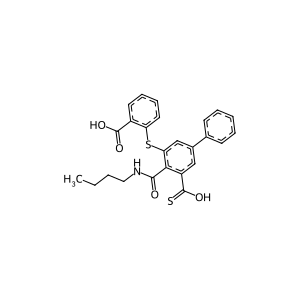 CCCCNC(=O)c1c(Sc2ccccc2C(=O)O)cc(-c2ccccc2)cc1C(O)=S